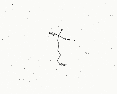 CCCCCCCCCCCCCCCC(F)(CCCCCC)C(=O)O